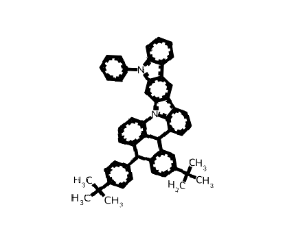 CC(C)(C)c1ccc(C2c3ccc(C(C)(C)C)cc3C3c4c2cccc4-n2c4cc5c(cc4c4cccc3c42)c2ccccc2n5-c2ccccc2)cc1